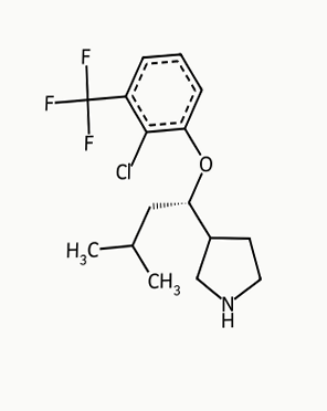 CC(C)C[C@H](Oc1cccc(C(F)(F)F)c1Cl)C1CCNC1